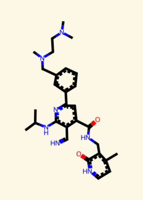 Cc1cc[nH]c(=O)c1CNC(=O)c1cc(-c2cccc(CN(C)CCN(C)C)c2)nc(NC(C)C)c1C=N